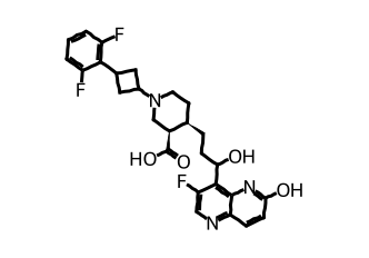 O=C(O)[C@H]1CN(C2CC(c3c(F)cccc3F)C2)CC[C@H]1CCC(O)c1c(F)cnc2ccc(O)nc12